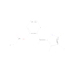 CCCCCCC(=O)Oc1ccccc1C(=O)c1[nH]c(Br)c(Br)c1Br